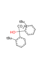 CC(C)(C)c1ccccc1C(O)(C(=O)O)c1ccccc1C(C)(C)C